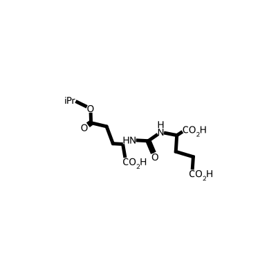 CC(C)OC(=O)CCC(NC(=O)NC(CCC(=O)O)C(=O)O)C(=O)O